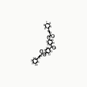 O=C(C#Cc1ccccc1)Oc1ccc(C(=O)c2ccc(OC(=O)C#Cc3ccccc3)cc2)cc1